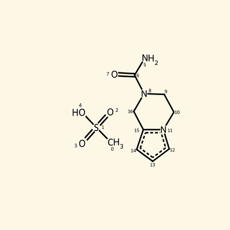 CS(=O)(=O)O.NC(=O)N1CCn2cccc2C1